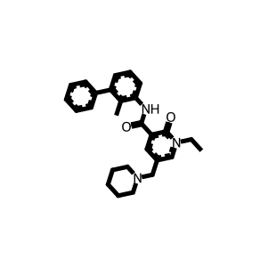 CCn1cc(CN2CCCCC2)cc(C(=O)Nc2cccc(-c3ccccc3)c2C)c1=O